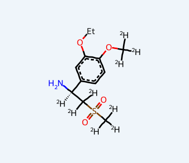 [2H]C([2H])([2H])Oc1ccc([C@]([2H])(N)C([2H])([2H])S(=O)(=O)C([2H])([2H])[2H])cc1OCC